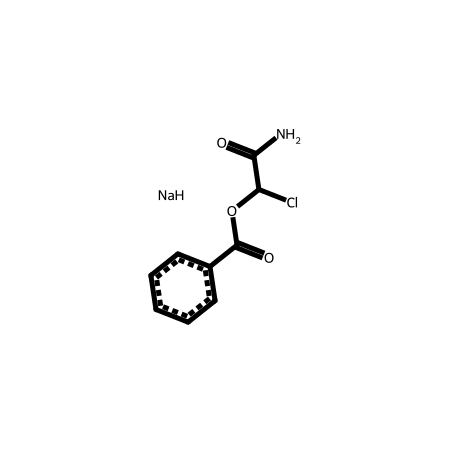 NC(=O)C(Cl)OC(=O)c1ccccc1.[NaH]